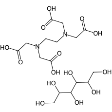 O=C(O)CN(CCN(CC(=O)O)CC(=O)O)CC(=O)O.OCC(O)C(O)C(O)C(O)CO